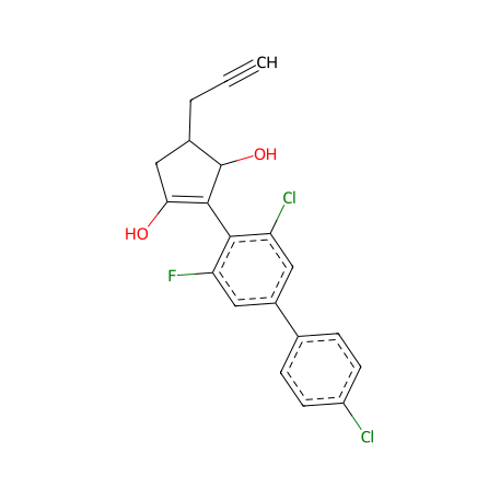 C#CCC1CC(O)=C(c2c(F)cc(-c3ccc(Cl)cc3)cc2Cl)C1O